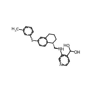 Cc1cccc(Sc2ccc3c(c2)CCC[C@H]3CNc2cnccc2C(O)O)c1